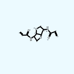 C=CC(=O)NC1COC2C(NC(=O)C=C)COC12